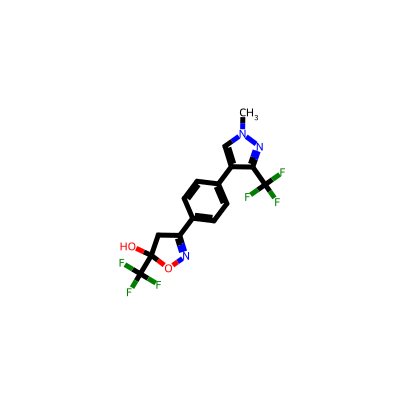 Cn1cc(-c2ccc(C3=NOC(O)(C(F)(F)F)C3)cc2)c(C(F)(F)F)n1